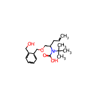 C=CCC(COCc1ccccc1CO)N(C(=O)O)C(C)(C)C